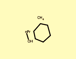 C.C1CCCCC1.CCCO